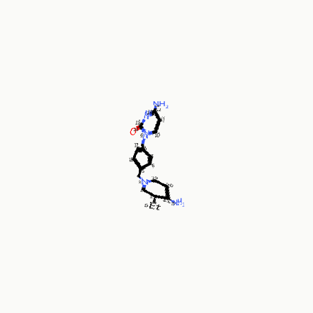 CC[C@H]1CN(Cc2ccc(-n3ccc(N)nc3=O)cc2)CC[C@H]1N